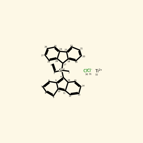 C=C[Si](C)(C1=c2ccccc2=C2C=CC=CC21)C1c2ccccc2-c2ccccc21.[Cl-].[Cl-].[Ti+2]